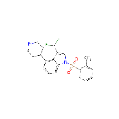 O=S(=O)(c1ccccc1C(F)(F)F)n1cc(C(F)F)c2c(C3CCNCC3)cccc21